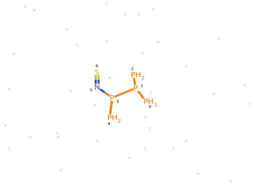 PP(P)P(P)N=S